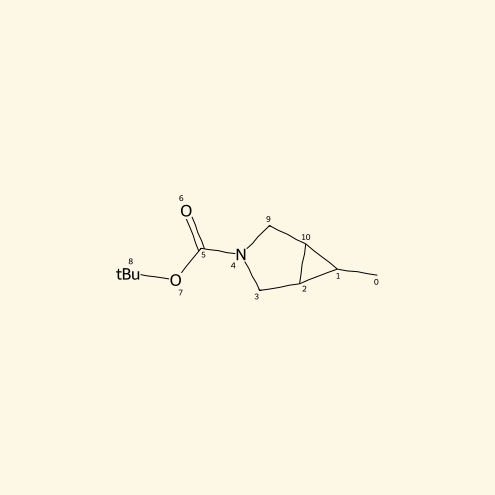 CC1C2CN(C(=O)OC(C)(C)C)CC12